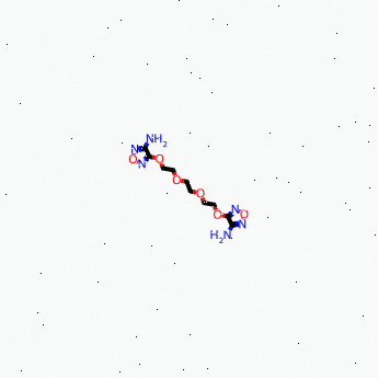 Nc1nonc1OCCOCCOCCOc1nonc1N